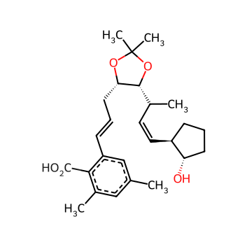 Cc1cc(C)c(C(=O)O)c(/C=C/C[C@@H]2OC(C)(C)O[C@@H]2C(C)/C=C\[C@H]2CCC[C@@H]2O)c1